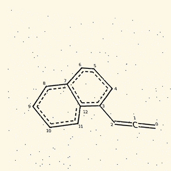 C=C=Cc1cccc2ccccc12